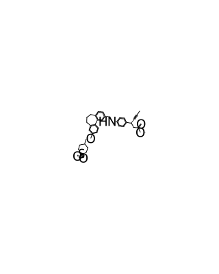 CC#C[C@@H](CC(=O)OC)c1ccc(NCc2ccc3c(c2)-c2ccc(OCC4CCS(=O)(=O)CC4)cc2CCC3)cc1